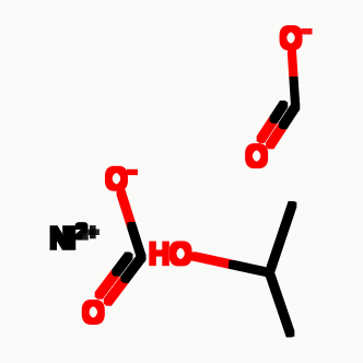 CC(C)O.O=C[O-].O=C[O-].[Ni+2]